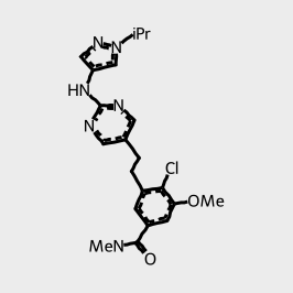 CNC(=O)c1cc(CCc2cnc(Nc3cnn(C(C)C)c3)nc2)c(Cl)c(OC)c1